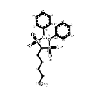 CCCCCCCCCCCCCCC(S(=O)(=O)Oc1ccccc1)S(=O)(=O)Oc1ccccc1